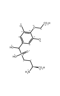 N[C@@H](CCP(=O)(O)C(O)c1cc(Cl)c(OCC(=O)O)c(Cl)c1)C(=O)O